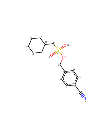 N#Cc1ccc(COS(=O)(=O)CC2CCCCC2)cc1